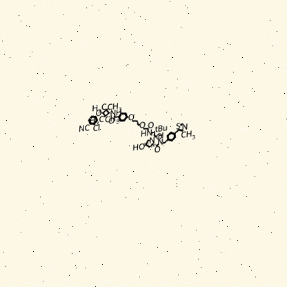 Cc1ncsc1-c1ccc(CNC(=O)[C@@H]2C[C@@H](O)CN2C(=O)[C@@H](NC(=O)COCCCOc2ccc(C(=O)N[C@H]3C(C)(C)[C@H](Oc4ccc(C#N)c(Cl)c4)C3(C)C)cc2)C(C)(C)C)cc1